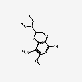 CCN(CC)C1COc2c(N)cc(OC)c(N)c2S1